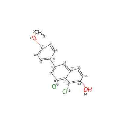 COc1ccc(-c2cc(Cl)c3c(Cl)c(O)ccc3c2)cc1